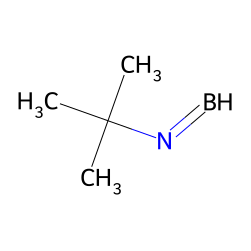 B=NC(C)(C)C